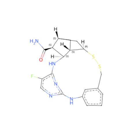 NC(=O)[C@H]1[C@H]2C[C@H]3[C@H]1Nc1nc(ncc1F)Nc1cccc(c1)CSS[C@@H]3C2